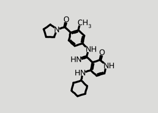 Cc1cc(NC(=N)c2c(NC3CCCCC3)cc[nH]c2=O)ccc1C(=O)N1CCCC1